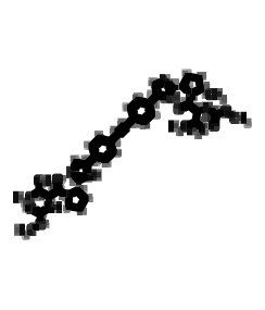 COC(=O)N[C@H](C(=O)N1CCC[C@H]1c1ncc(-c2ccc(C#Cc3ccc(-c4cnc([C@@H]5CC[C@H](C)N5C(=O)[C@@H](NC(=O)OC)C(C)C)[nH]4)cc3)cc2)[nH]1)C(C)C